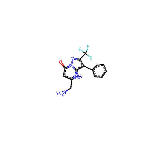 NCc1cc(=O)n2nc(C(F)(F)F)c(-c3ccccc3)c2[nH]1